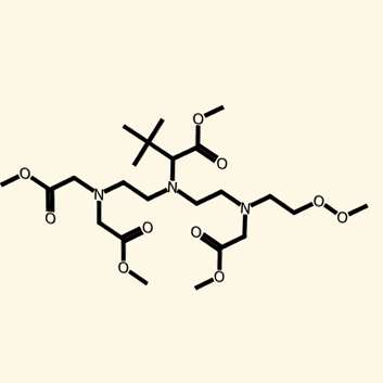 COOCCN(CCN(CCN(CC(=O)OC)CC(=O)OC)C(C(=O)OC)C(C)(C)C)CC(=O)OC